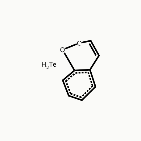 C1=Cc2ccccc2OC1.[TeH2]